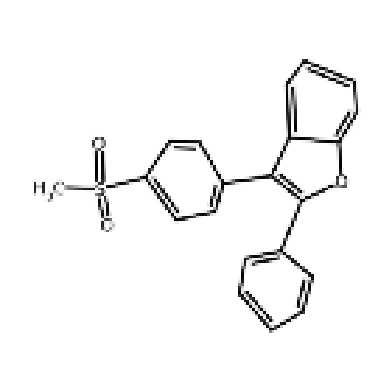 CS(=O)(=O)c1ccc(-c2c(-c3ccccc3)oc3ccccc23)cc1